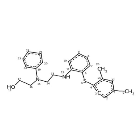 Cc1ccc(Sc2ccccc2NCCN(CCO)c2ccccc2)c(C)c1